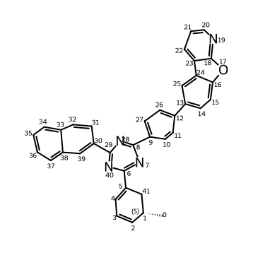 C[C@@H]1C=CC=C(c2nc(-c3ccc(-c4ccc5oc6ncccc6c5c4)cc3)nc(-c3ccc4ccccc4c3)n2)C1